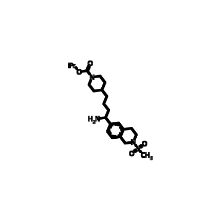 CC(C)OC(=O)N1CCC(CCCC(N)c2ccc3c(c2)CCN(S(C)(=O)=O)C3)CC1